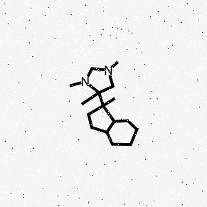 CN1CN(C)C(C)(C2(C)CCC3CCCCC32)C1